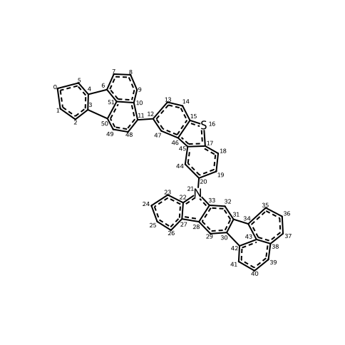 c1ccc2c(c1)-c1cccc3c(-c4ccc5sc6ccc(-n7c8ccccc8c8cc9c(cc87)-c7cccc8cccc-9c78)cc6c5c4)ccc-2c13